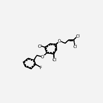 Fc1ccccc1COc1c(Cl)cc(OCC=C(Cl)Cl)cc1Cl